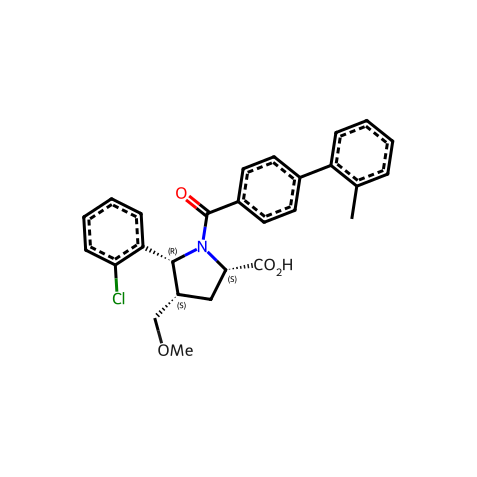 COC[C@H]1C[C@@H](C(=O)O)N(C(=O)c2ccc(-c3ccccc3C)cc2)[C@H]1c1ccccc1Cl